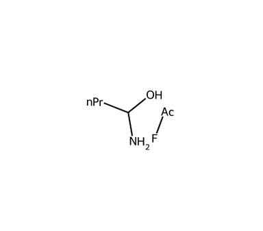 CC(=O)F.CCCC(N)O